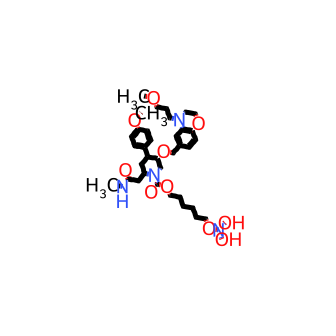 CNC(=O)CC1CC(c2ccc(OC)cc2)C(OCc2ccc3c(c2)N(CCCOC)CCO3)CN1C(=O)OCCCCCCON(O)O